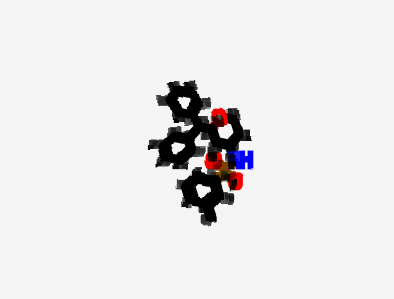 Cc1cccc(S(=O)(=O)NC2CCOC(C(c3ccccc3)c3ccccc3)C2)c1